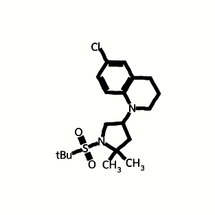 CC1(C)CC(N2CCCc3cc(Cl)ccc32)CN1S(=O)(=O)C(C)(C)C